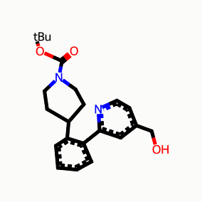 CC(C)(C)OC(=O)N1CCC(c2ccccc2-c2cc(CO)ccn2)CC1